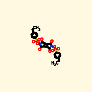 C=Cc1ccc(S(=O)(=O)ON2C(=O)C3C(C2=O)C2C(=O)N(OS(=O)(=O)c4ccc(C=C)cc4)C(=O)C32)cc1